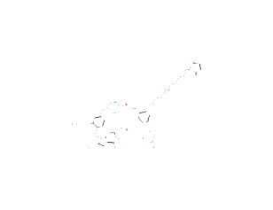 CCCCOc1nc(N)c2cc(C#N)n(Cc3ccc(CN4CCN(C(=O)OCc5ccc(O[C@@H]6O[C@H](C(=O)O)[C@@H](O)[C@H](O)[C@H]6O)cc5OCCCNC(=O)CCCCCN5C(=O)C=CC5=O)CC4)cc3OC)c2n1